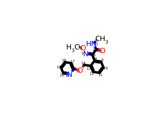 CNC(=O)/C(=N\OC)c1ccccc1COc1ccccn1